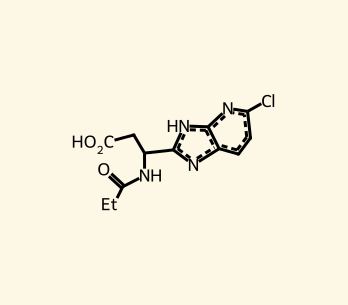 CCC(=O)NC(CC(=O)O)c1nc2ccc(Cl)nc2[nH]1